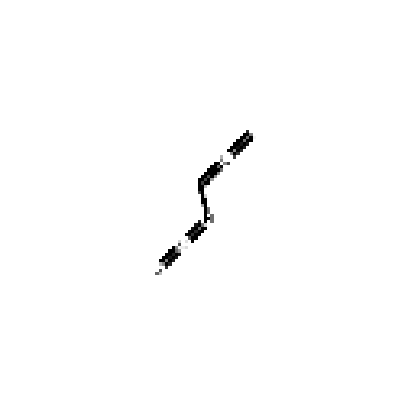 C=C=CN=C=S